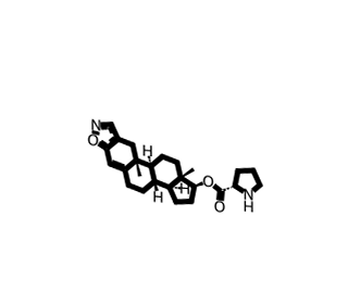 C[C@]12CC[C@H]3[C@@H](CCC4=Cc5oncc5C[C@@]43C)[C@@H]1CC[C@@H]2OC(=O)[C@@H]1CCCN1